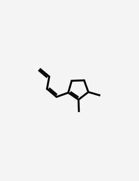 C=C/C=C\C1=C(C)C(C)CC1